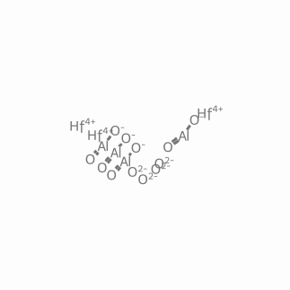 [Hf+4].[Hf+4].[Hf+4].[O-2].[O-2].[O-2].[O-2].[O]=[Al][O-].[O]=[Al][O-].[O]=[Al][O-].[O]=[Al][O-]